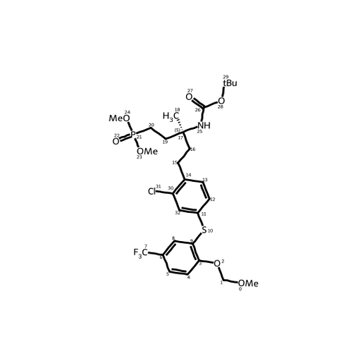 COCOc1ccc(C(F)(F)F)cc1Sc1ccc(CC[C@@](C)(CCP(=O)(OC)OC)NC(=O)OC(C)(C)C)c(Cl)c1